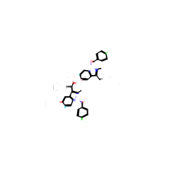 CCC(C)C(C(=O)Oc1cc2c(CC(=O)O)c(C)n(C(=O)c3ccc(Cl)cc3)c2cc1F)c1c(C)n(C(=O)c2ccc(Cl)cc2)c2cc(F)c(O)cc12